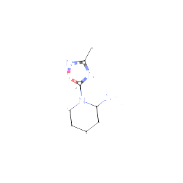 Cc1noc(N2CCCCC2N)n1